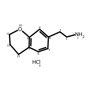 Cl.NCCc1ccc2c(c1)OCCC2